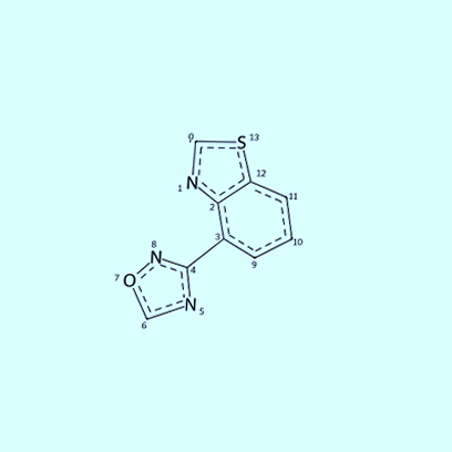 [c]1nc2c(-c3ncon3)cccc2s1